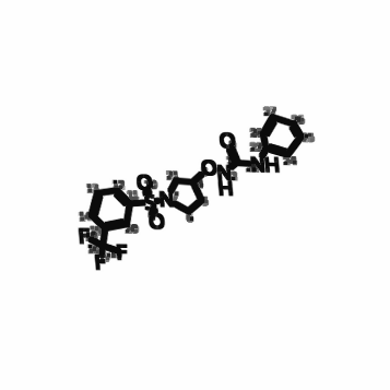 O=C(NOC1CCN(S(=O)(=O)c2cccc(C(F)(F)F)c2)C1)Nc1ccccc1